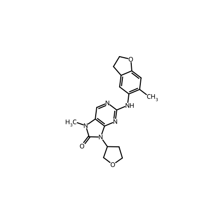 Cc1cc2c(cc1Nc1ncc3c(n1)n(C1CCOC1)c(=O)n3C)CCO2